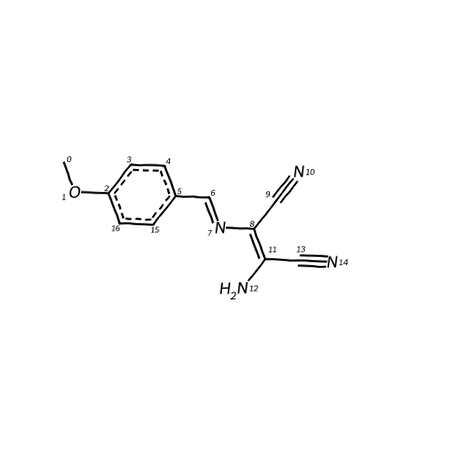 COc1ccc(C=N/C(C#N)=C(\N)C#N)cc1